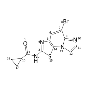 O=C(Nc1nc2cc(Br)c3nccn3c2s1)C1CC1